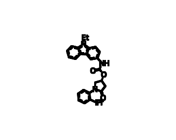 CCn1c2ccccc2c2cc(NC(=O)O[C@@H]3CC(=O)N(c4ccccc4C(C)C)C3)ccc21